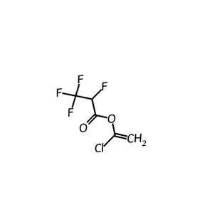 C=C(Cl)OC(=O)C(F)C(F)(F)F